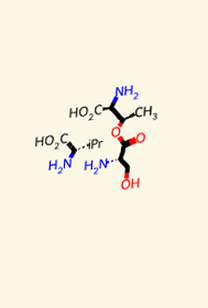 CC(C)[C@H](N)C(=O)O.C[C@@H](OC(=O)[C@@H](N)CO)[C@H](N)C(=O)O